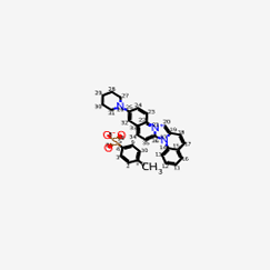 Cc1ccc(S(=O)(=O)[O-])cc1.c1ccc2c(c1)ccc1c[n+]3c4ccc(N5CCCCC5)cc4ccc3n12